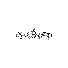 CCC(C)(C)C(=O)OCC(=O)OC1C2CC3C1OC(=O)C3C2C(=O)OC1(CC)CC2CC1C1C2C2CC[C@H]1C2